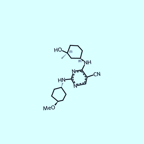 CO[C@H]1CC[C@H](Nc2ncc(C#N)c(N[C@@H]3CCC[C@](C)(O)C3)n2)CC1